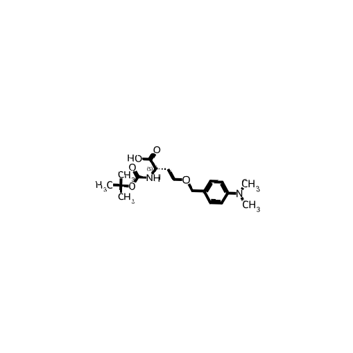 CN(C)c1ccc(COCC[C@H](NC(=O)OC(C)(C)C)C(=O)O)cc1